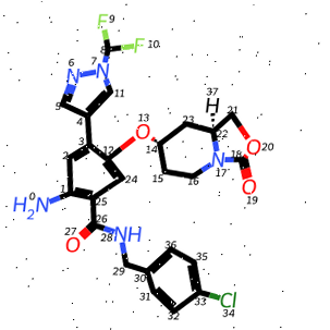 Nc1cc(-c2cnn(C(F)F)c2)c(O[C@H]2CCN3C(=O)OC[C@@H]3C2)cc1C(=O)NCc1ccc(Cl)cc1